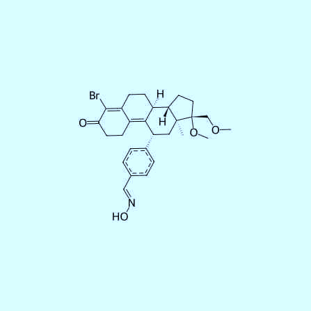 COC[C@]1(OC)CC[C@H]2[C@@H]3CCC4=C(Br)C(=O)CCC4=C3[C@@H](c3ccc(/C=N/O)cc3)C[C@@]21C